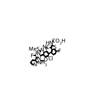 CSc1nc2c3c(c(Cl)c(-c4ccc(F)c5sc(NC(=O)O)c(C#N)c45)c(F)c3n1)OCCN2[C@@H](c1cccnc1N)C(F)F